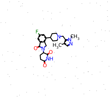 Cc1cnn(C)c1CN1CCC(c2cc(F)cc3c2CN(C2CCC(=O)NC2=O)C3=O)CC1